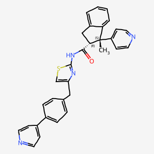 C[C@]1(c2ccncc2)c2ccccc2C[C@H]1C(=O)Nc1nc(Cc2ccc(-c3ccncc3)cc2)cs1